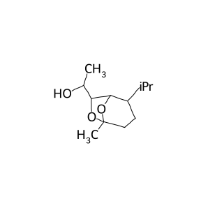 CC(C)C1CCC2(C)OC(C(C)O)C1O2